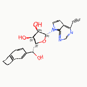 CCCCc1ncnc2c1ccn2[C@@H]1O[C@H](C(O)c2ccc3c(c2)CC3)[C@@H](O)[C@H]1O